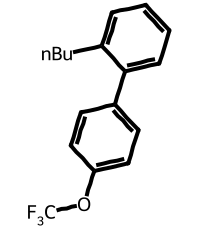 CCCCc1ccccc1-c1ccc(OC(F)(F)F)cc1